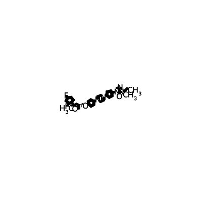 CCC(C)n1ncn(-c2ccc(N3CCN(c4ccc(OC[C@@H]5CO[C@@](C)(c6ccc(F)cc6F)C5)cc4)CC3)cc2)c1=O